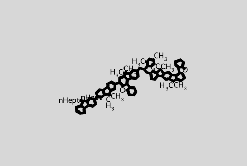 CCCCCCCC1(CCCCCCC)c2ccccc2-c2ccc(-c3ccc4c(c3)C(C)(C)c3cc(-c5cc6c(c7c5oc5ccccc57)-c5ccc(CC(Cc7ccc8c(c7)C(C)(C)c7cc9c(cc7-8)C(C)(C)c7ccc8oc%10ccccc%10c8c7-9)c7ccc(C)cc7C)cc5C6(C)C)ccc3-4)cc21